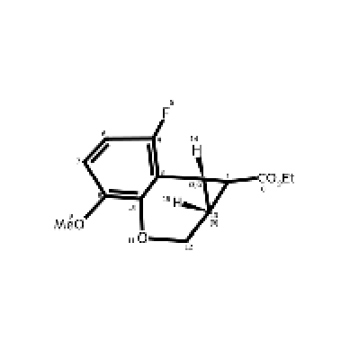 CCOC(=O)C1[C@H]2c3c(F)ccc(OC)c3OC[C@@H]12